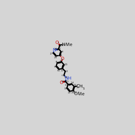 CNC(=O)c1cc(Oc2cccc(CCNC(=O)c3ccc(OC)c(C)c3)c2)ccn1